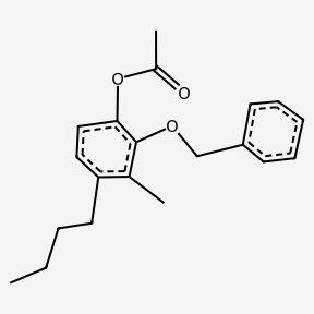 CCCCc1ccc(OC(C)=O)c(OCc2ccccc2)c1C